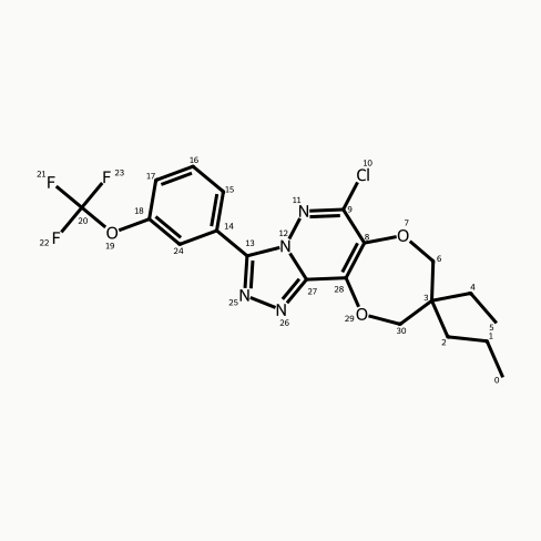 CCCC1(CC)COc2c(Cl)nn3c(-c4cccc(OC(F)(F)F)c4)nnc3c2OC1